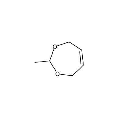 CC1OCC=CCO1